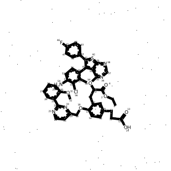 CCOC(=O)C(Cc1cc(CCC(=O)O)ccc1OCc1ccnc(-c2ccccc2OC)n1)Oc1ncnc2sc(-c3ccc(F)cc3)c(-c3ccc(N)c(Cl)c3C)c12